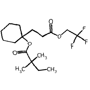 CCC(C)(C)C(=O)OC1(CCC(=O)OCC(F)(F)F)CCCCC1